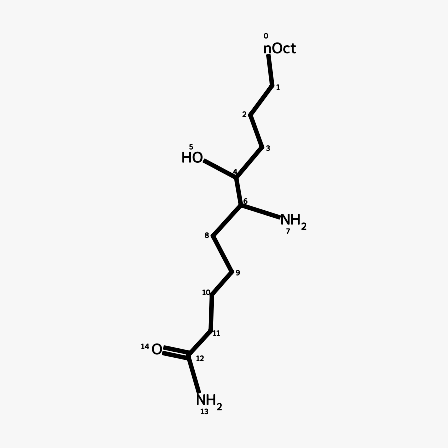 CCCCCCCCCCCC(O)C(N)CCCCC(N)=O